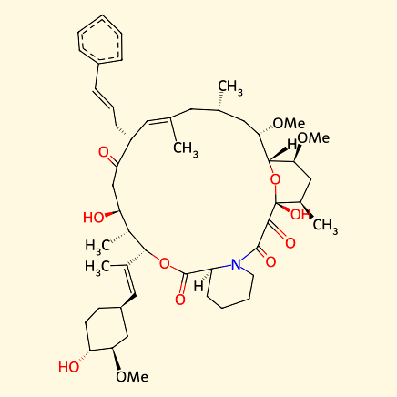 CO[C@H]1C[C@@H](C)C/C(C)=C/[C@@H](C/C=C/c2ccccc2)C(=O)C[C@H](O)[C@@H](C)[C@@H](/C(C)=C/[C@@H]2CC[C@@H](O)[C@H](OC)C2)OC(=O)[C@@H]2CCCCN2C(=O)C(=O)[C@]2(O)O[C@H]1[C@@H](OC)C[C@H]2C